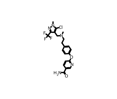 CN(CCc1ccc(Oc2ccc(C(N)=O)cn2)cc1)Cc1c(C(F)(F)F)nn(C)c1Cl